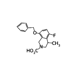 CC1CN(C(=O)O)Cc2c(OCc3ccccc3)ccc(F)c21